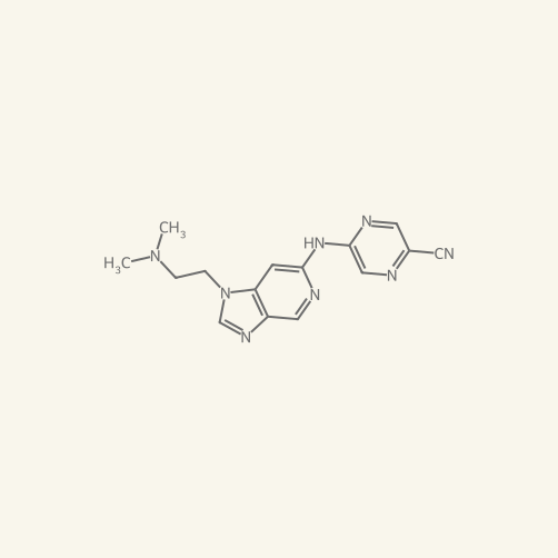 CN(C)CCn1cnc2cnc(Nc3cnc(C#N)cn3)cc21